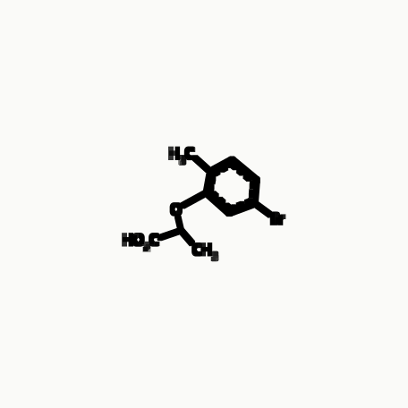 Cc1ccc(Br)cc1OC(C)C(=O)O